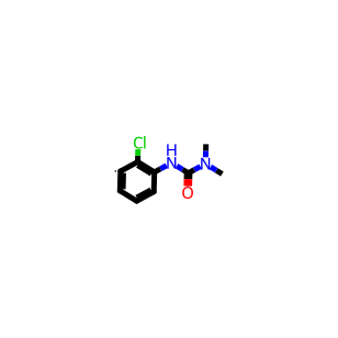 CN(C)C(=O)Nc1ccc[c]c1Cl